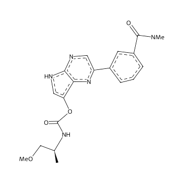 CNC(=O)c1cccc(-c2cnc3[nH]cc(OC(=O)N[C@@H](C)COC)c3n2)c1